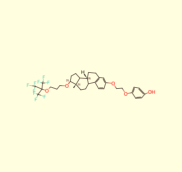 C[C@]12CCC3c4ccc(OCCOc5ccc(O)cc5)cc4CC[C@H]3C1CC[C@@H]2OCCCOC(C(F)(F)F)(C(F)(F)F)C(F)(F)F